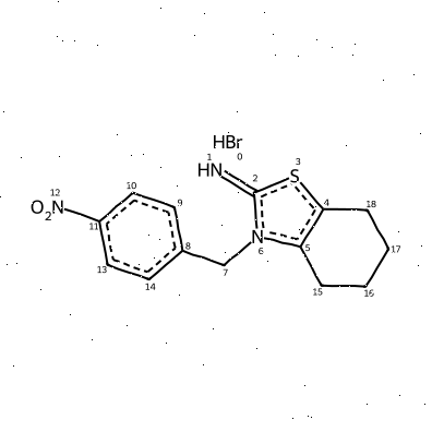 Br.N=c1sc2c(n1Cc1ccc([N+](=O)[O-])cc1)CCCC2